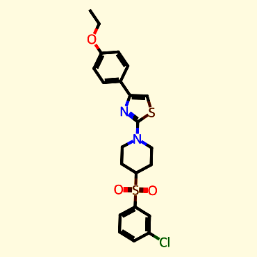 CCOc1ccc(-c2csc(N3CCC(S(=O)(=O)c4cccc(Cl)c4)CC3)n2)cc1